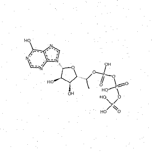 CC(OP(=O)(O)OP(=O)(O)OP(=O)(O)O)[C@H]1O[C@@H](n2cnc3c(O)ncnc32)[C@H](O)[C@@H]1O